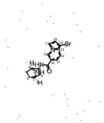 O=C(N[C@@H]1C[C@H]2CC[C@@H]1N2)c1ccc2c(Br)ccn2c1